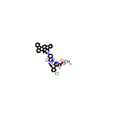 COC(=O)c1csc2c(-c3cc(Cl)ccc3C#CCn3c(C)nc4c(c3=O)CC(N3CCCC5(C3)CC5(c3cccc5c3Cc3ccccc3-5)c3cccc5c3Cc3ccccc3-5)CC4)ccnc12